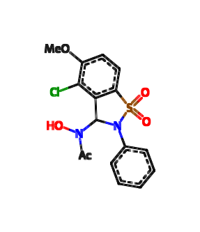 COc1ccc2c(c1Cl)C(N(O)C(C)=O)N(c1ccccc1)S2(=O)=O